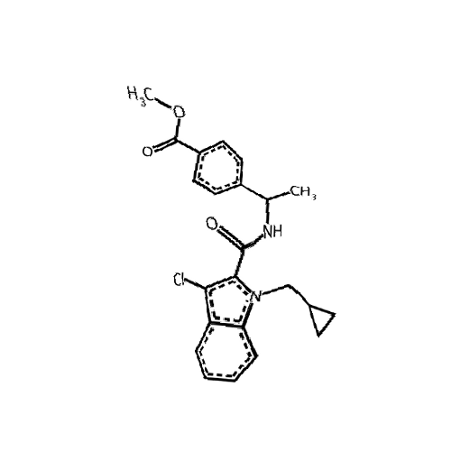 COC(=O)c1ccc(C(C)NC(=O)c2c(Cl)c3ccccc3n2CC2CC2)cc1